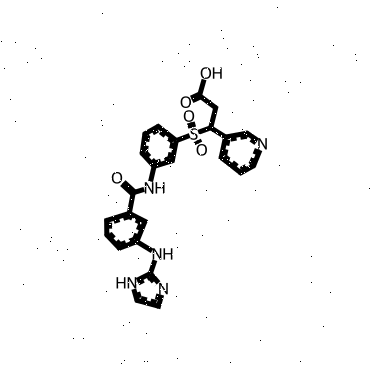 O=C(O)CC(c1cccnc1)S(=O)(=O)c1cccc(NC(=O)c2cccc(Nc3ncc[nH]3)c2)c1